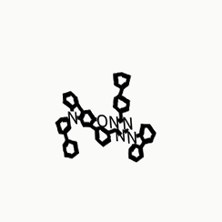 c1ccc(-c2ccc(-c3nc(-c4cccc5c4oc4cc6c7ccccc7n(-c7cccc(-c8ccccc8)c7)c6cc45)nc(-n4c5ccccc5c5ccccc54)n3)cc2)cc1